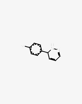 Brc1ccc(C2C=CC=NN2)cc1